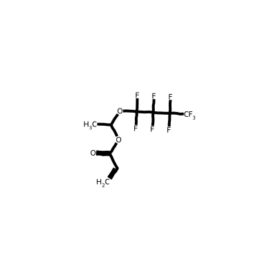 C=CC(=O)OC(C)OC(F)(F)C(F)(F)C(F)(F)C(F)(F)F